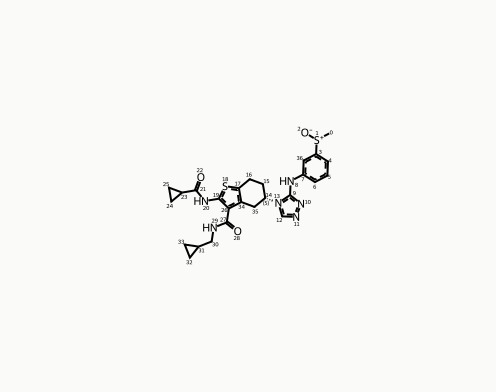 C[S+]([O-])c1cccc(Nc2nncn2[C@H]2CCc3sc(NC(=O)C4CC4)c(C(=O)NCC4CC4)c3C2)c1